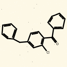 O=C(c1ccccc1)c1ccc(Cc2ccccc2)cc1Cl